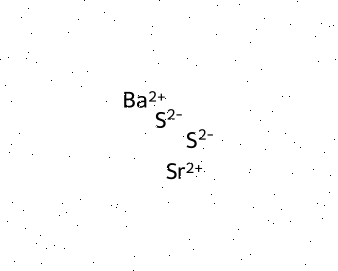 [Ba+2].[S-2].[S-2].[Sr+2]